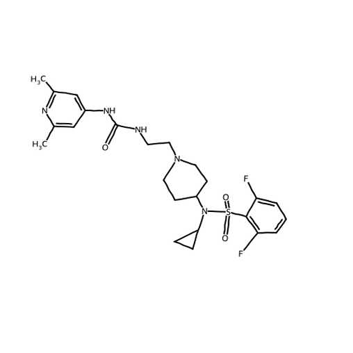 Cc1cc(NC(=O)NCCN2CCC(N(C3CC3)S(=O)(=O)c3c(F)cccc3F)CC2)cc(C)n1